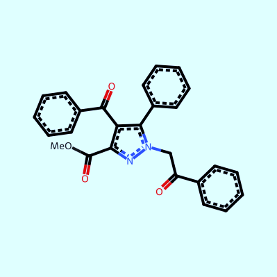 COC(=O)c1nn(CC(=O)c2ccccc2)c(-c2ccccc2)c1C(=O)c1ccccc1